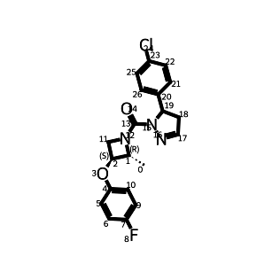 C[C@@H]1[C@@H](Oc2ccc(F)cc2)CN1C(=O)N1N=CCC1c1ccc(Cl)cc1